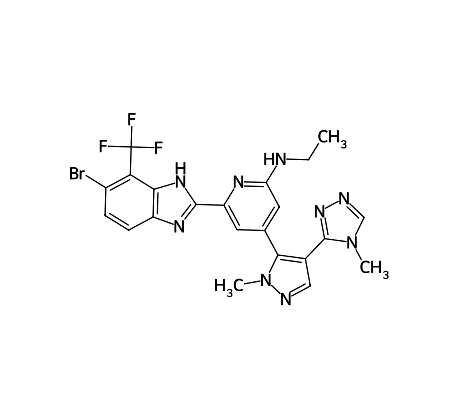 CCNc1cc(-c2c(-c3nncn3C)cnn2C)cc(-c2nc3ccc(Br)c(C(F)(F)F)c3[nH]2)n1